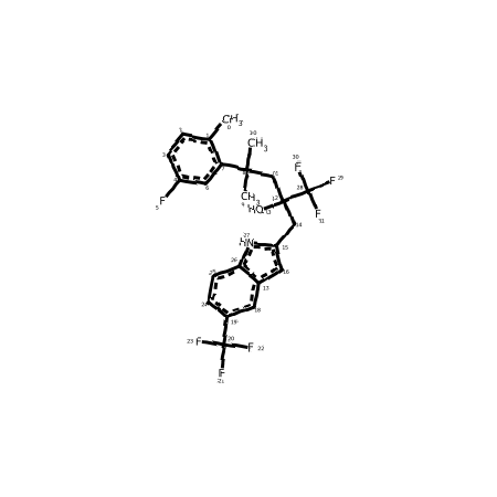 Cc1ccc(F)cc1C(C)(C)CC(O)(Cc1cc2cc(C(F)(F)F)ccc2[nH]1)C(F)(F)F